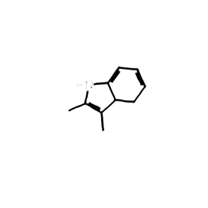 CC1=C(C)C2CC=CC=C2N1